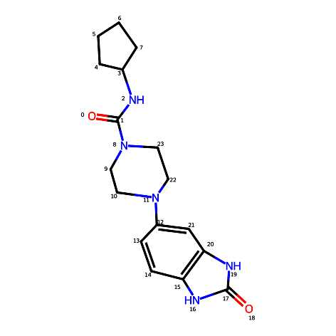 O=C(NC1CCCC1)N1CCN(c2ccc3[nH]c(=O)[nH]c3c2)CC1